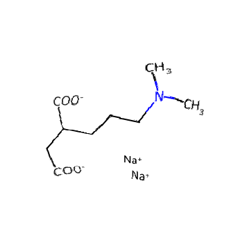 CN(C)CCCC(CC(=O)[O-])C(=O)[O-].[Na+].[Na+]